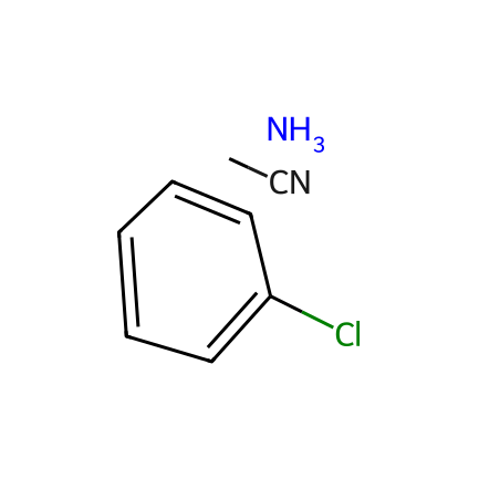 CC#N.Clc1ccccc1.N